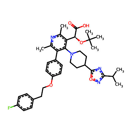 Cc1nc(C)c([C@H](OC(C)(C)C)C(=O)O)c(N2CCC(c3nc(C(C)C)no3)CC2)c1-c1ccc(OCCc2ccc(F)cc2)cc1